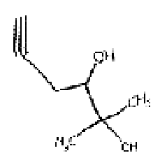 [C]#CCC(O)C(C)(C)O